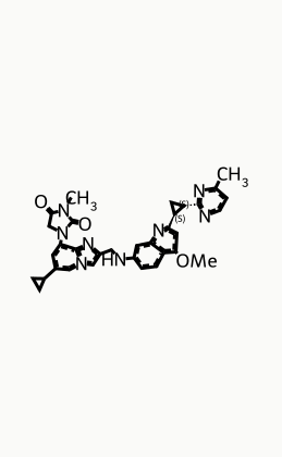 COc1cc([C@H]2C[C@@H]2c2nccc(C)n2)nc2cc(NCc3cn4cc(C5CC5)cc(N5CC(=O)N(C)C5=O)c4n3)ccc12